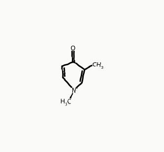 Cc1cn(C)ccc1=O